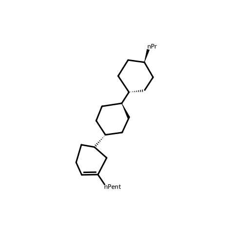 CCCCCC1=CCCC([C@H]2CC[C@H]([C@H]3CC[C@H](CCC)CC3)CC2)C1